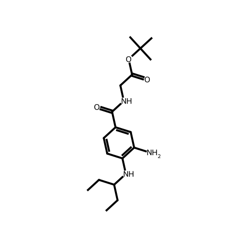 CCC(CC)Nc1ccc(C(=O)NCC(=O)OC(C)(C)C)cc1N